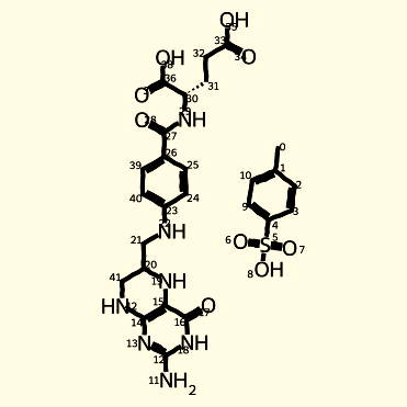 Cc1ccc(S(=O)(=O)O)cc1.Nc1nc2c(c(=O)[nH]1)NC(CNc1ccc(C(=O)N[C@@H](CCC(=O)O)C(=O)O)cc1)CN2